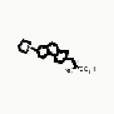 N#C/C(=C\c1ccc2c(ccc3cc(N4CCCCC4)ccc32)c1)C(=O)O